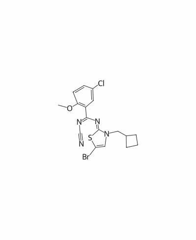 COc1ccc(Cl)cc1C(=NC#N)N=c1sc(Br)cn1CC1CCC1